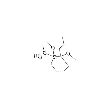 CCCC1(OC)CCCC[Si]1(OC)OC.Cl